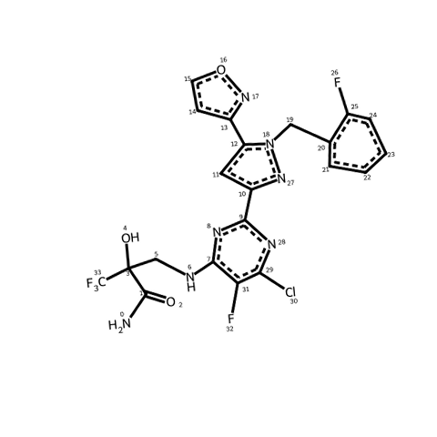 NC(=O)C(O)(CNc1nc(-c2cc(-c3ccon3)n(Cc3ccccc3F)n2)nc(Cl)c1F)C(F)(F)F